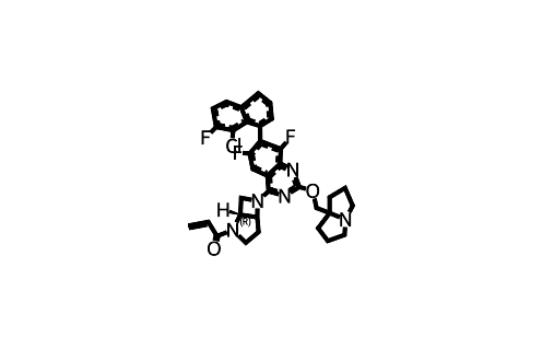 C=CC(=O)N1CCC2[C@H]1CN2c1nc(OCC23CCCN2CCC3)nc2c(F)c(-c3cccc4ccc(F)c(Cl)c34)c(F)cc12